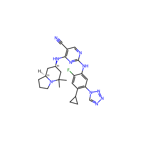 CC1(C)C[C@H](Nc2nc(Nc3cc(-n4cnnn4)c(C4CC4)cc3F)ncc2C#N)C[C@@H]2CCCN21